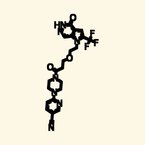 N#Cc1ccc(N2CCN(C(=O)CCOCCn3c(C(F)(F)F)cc4c(=O)[nH]ncc43)CC2)nc1